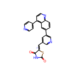 O=C1NC(=O)/C(=C/c2cncc(-c3ccc4nccc(-c5ccncc5)c4c3)c2)S1